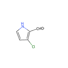 O=[C]c1[nH]ccc1Cl